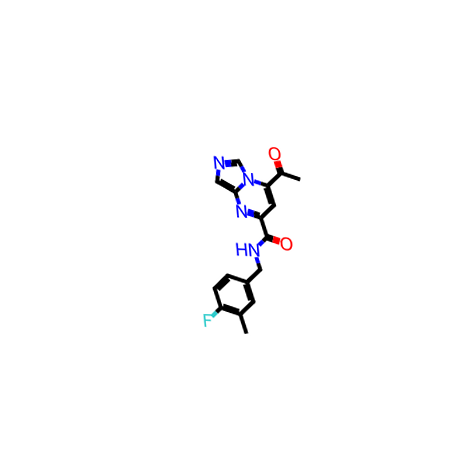 CC(=O)c1cc(C(=O)NCc2ccc(F)c(C)c2)nc2cncn12